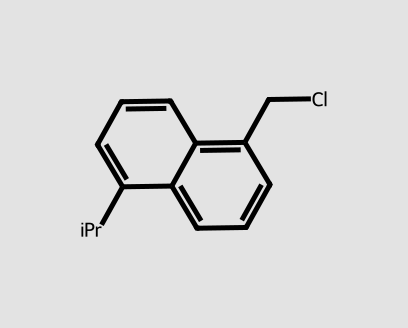 CC(C)c1cccc2c(CCl)cccc12